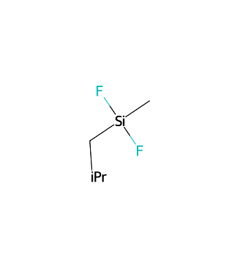 CC(C)C[Si](C)(F)F